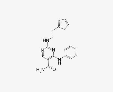 NC(=O)c1cnc(NCCC2=CC=CC2)nc1Nc1ccccc1